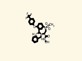 CC1c2cc(ccc2Oc2ccc(C(F)(F)F)cc2)N(S(C)(=O)=O)C[C@@H](C(=O)NO)N1Cc1ccccc1